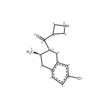 C[C@@H]1Cc2ccc(Cl)cc2CN1C(=O)C1CNC1